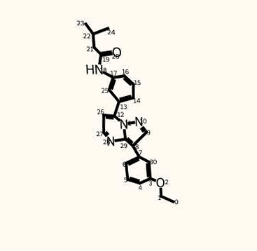 CCOc1cccc(-c2cnn3c(-c4cccc(NC(=O)CC(C)C)c4)ccnc23)c1